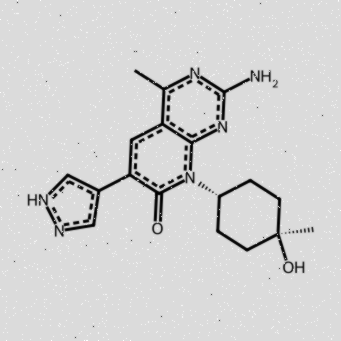 Cc1nc(N)nc2c1cc(-c1cn[nH]c1)c(=O)n2[C@H]1CC[C@](C)(O)CC1